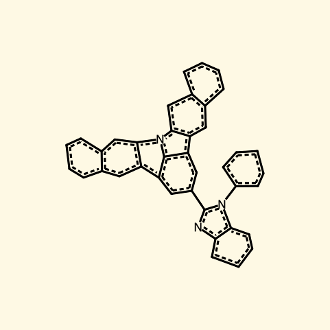 c1ccc(-n2c(-c3cc4c5cc6ccccc6cc5n5c6cc7ccccc7cc6c(c3)c45)nc3ccccc32)cc1